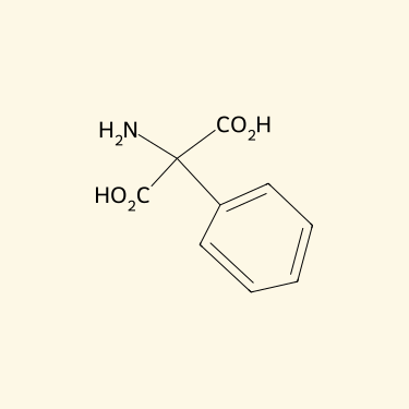 NC(C(=O)O)(C(=O)O)c1ccccc1